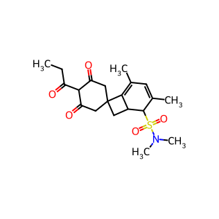 CCC(=O)C1C(=O)CC2(CC1=O)CC1C2=C(C)C=C(C)C1S(=O)(=O)N(C)C